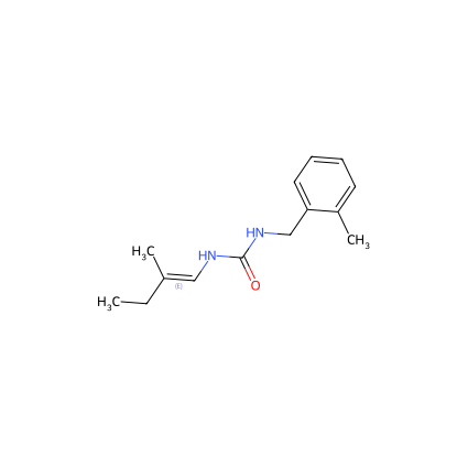 CC/C(C)=C/NC(=O)NCc1ccccc1C